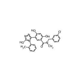 Cc1ccccc1-n1c(O)nnc1-c1cc(C(=O)N(C)Cc2cccc(Cl)c2)c(O)cc1O